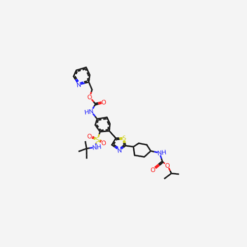 CC(C)OC(=O)NC1CCC(c2ncc(-c3ccc(NC(=O)OCc4ccccn4)cc3S(=O)(=O)NC(C)(C)C)s2)CC1